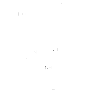 Cc1cccc(Cl)c1NC1Nc2cc(C(=O)O)c3c(c2N1)CC(C)(C)O3